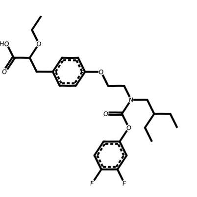 CCOC(Cc1ccc(OCCN(CC(CC)CC)C(=O)Oc2ccc(F)c(F)c2)cc1)C(=O)O